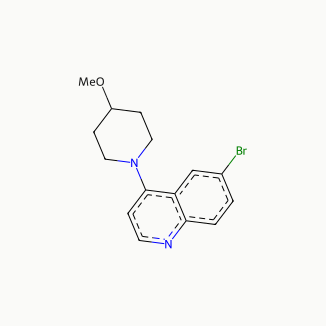 COC1CCN(c2ccnc3ccc(Br)cc23)CC1